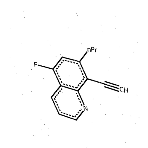 C#Cc1c(CCC)cc(F)c2cccnc12